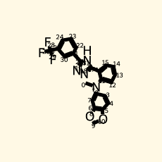 CN(c1ccc2c(c1)OCO2)c1ccccc1-c1nnc(-c2cccc(C(F)(F)F)c2)[nH]1